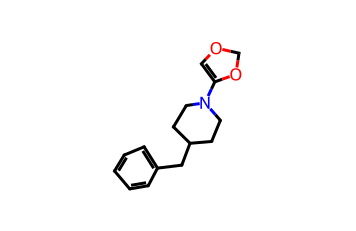 C1=C(N2CCC(Cc3ccccc3)CC2)OCO1